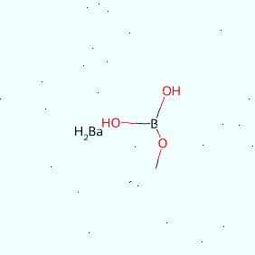 COB(O)O.[BaH2]